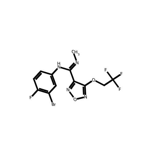 C/N=C(\Nc1ccc(F)c(Br)c1)c1nonc1OCC(F)(F)F